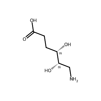 NC[C@H](O)[C@@H](O)CCC(=O)O